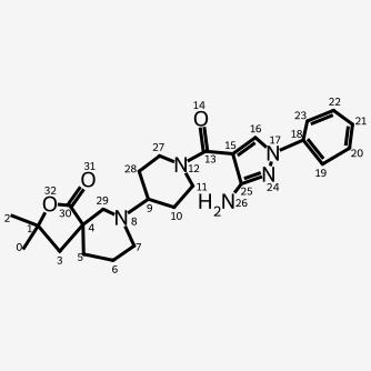 CC1(C)CC2(CCCN(C3CCN(C(=O)c4cn(-c5ccccc5)nc4N)CC3)C2)C(=O)O1